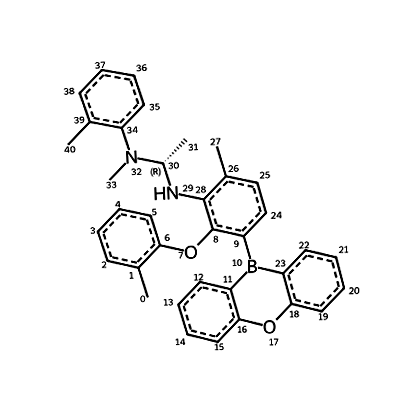 Cc1ccccc1Oc1c(B2c3ccccc3Oc3ccccc32)ccc(C)c1N[C@@H](C)N(C)c1ccccc1C